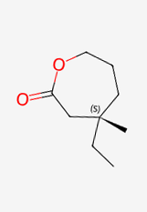 CC[C@@]1(C)CCCOC(=O)C1